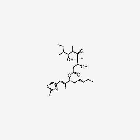 CC/C=C/C[C@H](OC(=O)C[C@H](O)C(C)(C)C(=O)[C@H](C)[C@@H](O)[C@@H](C)CC)/C(C)=C/c1csc(C)n1